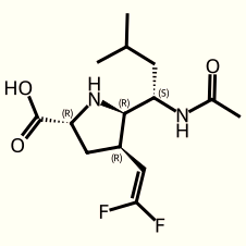 CC(=O)N[C@@H](CC(C)C)[C@@H]1N[C@@H](C(=O)O)C[C@@H]1C=C(F)F